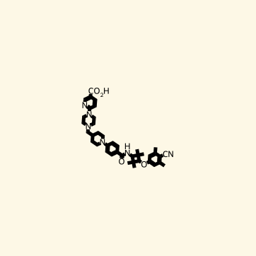 Cc1cc(OC2C(C)(C)C(NC(=O)c3ccc(N4CCC(CN5CCN(c6ccc(C(=O)O)cn6)CC5)CC4)cc3)C2(C)C)cc(C)c1C#N